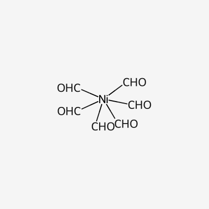 O=[CH][Ni]([CH]=O)([CH]=O)([CH]=O)([CH]=O)[CH]=O